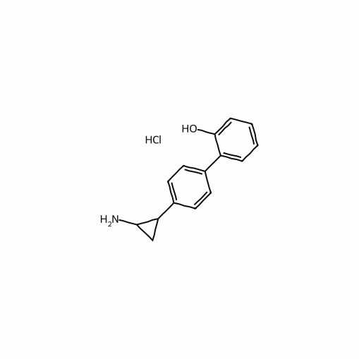 Cl.NC1CC1c1ccc(-c2ccccc2O)cc1